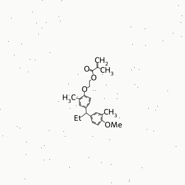 C=C(C)C(=O)OCCOc1ccc(C(CC)c2ccc(OC)c(C)c2)cc1C